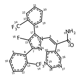 NC(=O)/C(=C/n1nc(-c2ccccc2C(F)(F)F)c(F)c1-c1ccccc1C(F)(F)F)c1cncnc1